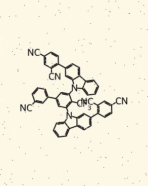 N#Cc1cccc(-c2cc(-n3c4ccccc4c4ccc(-c5ccc(C#N)cc5C#N)cc43)c(C(F)(F)F)c(-n3c4ccccc4c4ccc(-c5ccc(C#N)cc5C#N)cc43)c2)c1